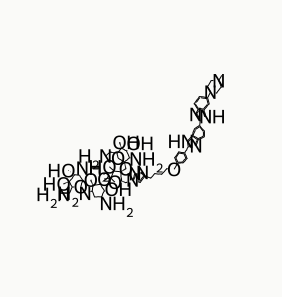 CN1CCN(c2ccc3nc(-c4ccc5nc(-c6ccc(OCCCCc7cn(C[C@H]8O[C@@H](O[C@@H]9C(O)[C@H](N)CC(N)[C@H]9O[C@@H]9OC(CN)[C@@H](O)[C@H](O)C9N)C(O)[C@H]8O[C@H]8O[C@@H](CN)[C@@H](O)C(O)C8N)nn7)cc6)[nH]c5c4)[nH]c3c2)CC1